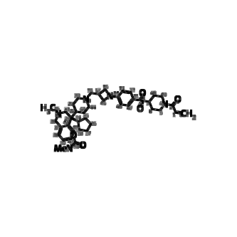 C=CC(=O)N1CCC(S(=O)(=O)c2ccc(N3CC(CN4CCC(C5([C@H]6CCC[C@@H]6OC(=O)NC)CN(C)Cc6ccccc65)CC4)C3)cc2)CC1